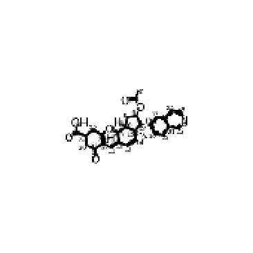 CC(=O)O[C@@H]1C[C@H]2[C@@H]3OC4=C(C=C3C=C[C@]2(C)[C@H]1c1ccc2cnccc2c1)C(=O)CC(C(=O)O)C4